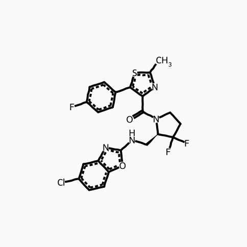 Cc1nc(C(=O)N2CCC(F)(F)[C@H]2CNc2nc3cc(Cl)ccc3o2)c(-c2ccc(F)cc2)s1